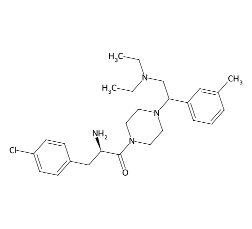 CCN(CC)CC(c1cccc(C)c1)N1CCN(C(=O)[C@H](N)Cc2ccc(Cl)cc2)CC1